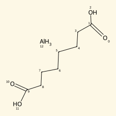 O=C(O)CCCCCCC(=O)O.[AlH3]